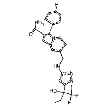 CCC(O)(c1nnc(NCc2ccn3c(-c4ccc(F)cc4)c(C(N)=O)cc3c2)o1)C(F)(F)F